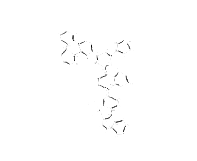 CC1(C)c2cc(-c3ccc(-c4nc(-c5ccccc5)cc(-c5ccc6c7ccccc7c7ccccc7c6c5)n4)c4ccccc34)ccc2-c2c1ccc1ccccc21